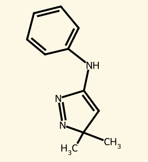 CC1(C)C=C(Nc2ccccc2)N=N1